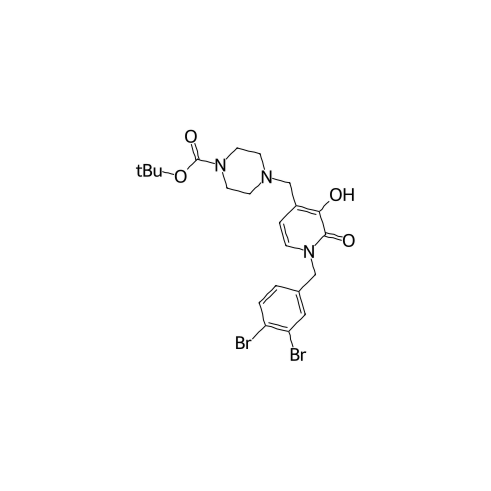 CC(C)(C)OC(=O)N1CCN(Cc2ccn(Cc3ccc(Br)c(Br)c3)c(=O)c2O)CC1